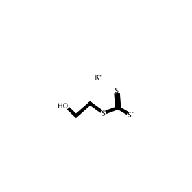 OCCSC(=S)[S-].[K+]